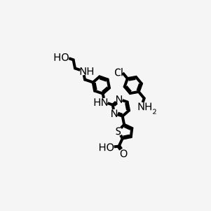 NCc1ccc(Cl)cc1.O=C(O)c1ccc(-c2ccnc(Nc3cccc(CNCCO)c3)n2)s1